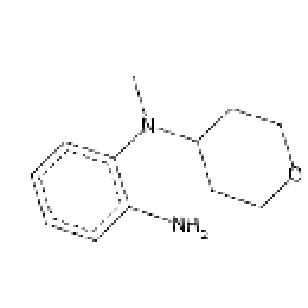 CN(c1ccccc1N)C1CCOCC1